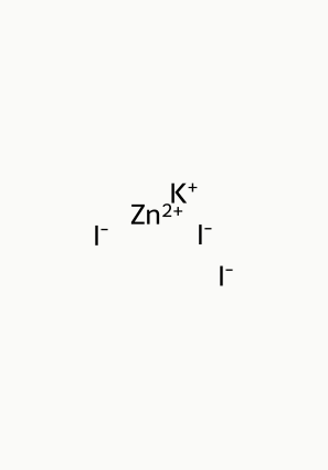 [I-].[I-].[I-].[K+].[Zn+2]